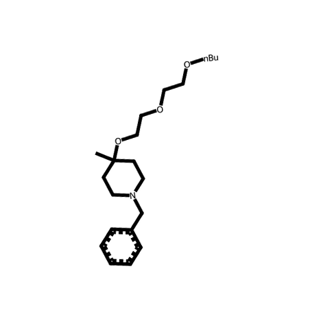 CCCCOCCOCCOC1(C)CCN(Cc2ccccc2)CC1